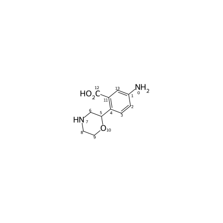 Nc1ccc(C2CNCCO2)c(C(=O)O)c1